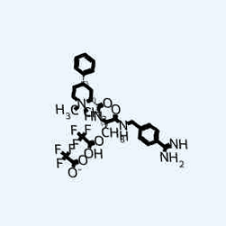 C[C@H](NC(=O)[C@H]1C[C@@H](c2ccccc2)CC[N+]1(C)C)C(=O)NCc1ccc(C(=N)N)cc1.O=C(O)C(F)(F)F.O=C([O-])C(F)(F)F